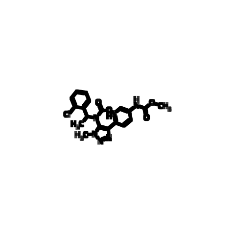 COC(=O)Nc1ccc(-c2nnn(C)c2N(C(=O)O)C(C)c2ccccc2Cl)nc1